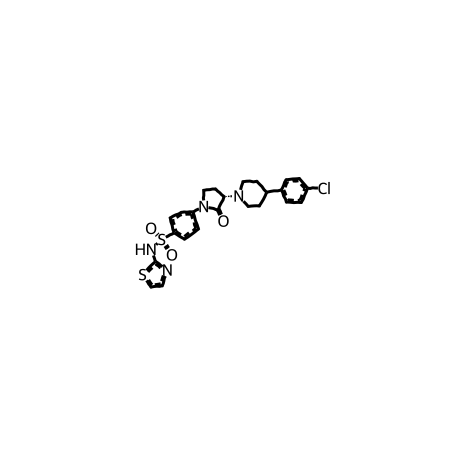 O=C1[C@@H](N2CCC(c3ccc(Cl)cc3)CC2)CCN1c1ccc(S(=O)(=O)Nc2nccs2)cc1